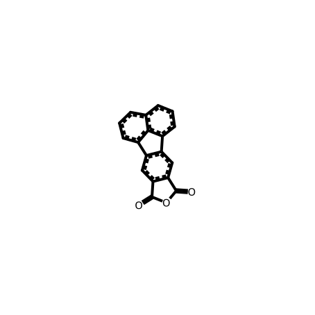 O=C1OC(=O)c2cc3c(cc21)-c1cccc2cccc-3c12